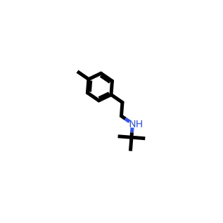 Cc1ccc(CCNC(C)(C)C)cc1